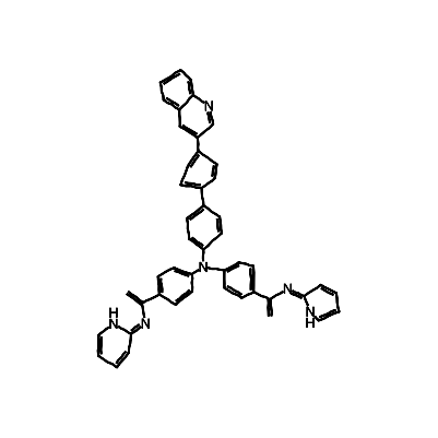 C=C(/N=c1/cccc[nH]1)c1ccc(N(c2ccc(C(=C)/N=c3/cccc[nH]3)cc2)c2ccc(-c3ccc(-c4cnc5ccccc5c4)cc3)cc2)cc1